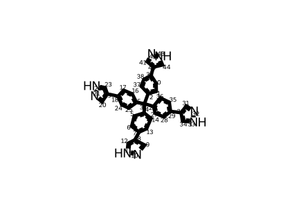 c1cc(C(c2ccc(-c3cn[nH]c3)cc2)(c2ccc(-c3cn[nH]c3)cc2)c2ccc(-c3cn[nH]c3)cc2)ccc1-c1cn[nH]c1